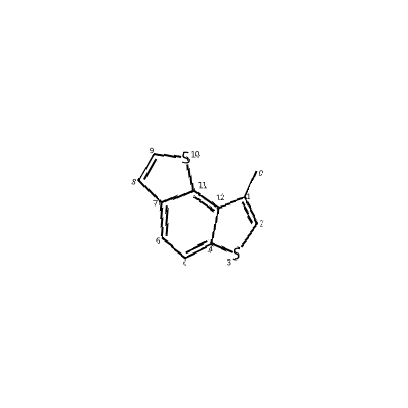 Cc1csc2ccc3ccsc3c12